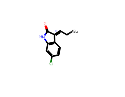 CC(C)(C)C/C=C1/C(=O)Nc2cc(Cl)ccc21